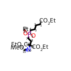 CCOC(=O)CCCCP(=O)(CCC(/N=C\OC)(C(=O)OCC)C(=O)OCC)OCC